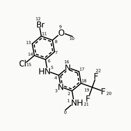 CNc1nc(Nc2cc(OC)c(Br)cc2Cl)ncc1C(F)(F)F